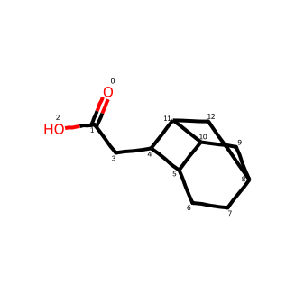 O=C(O)CC1C2CCC3CC2C1C3